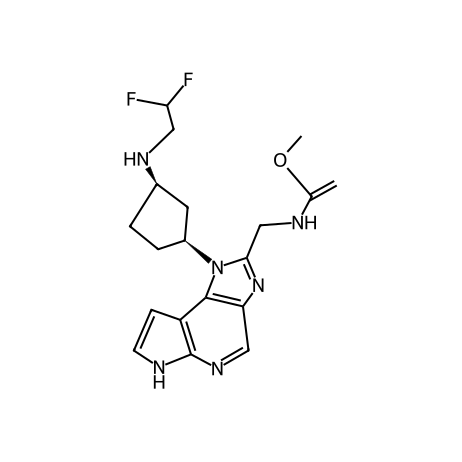 C=C(NCc1nc2cnc3[nH]ccc3c2n1[C@H]1CC[C@@H](NCC(F)F)C1)OC